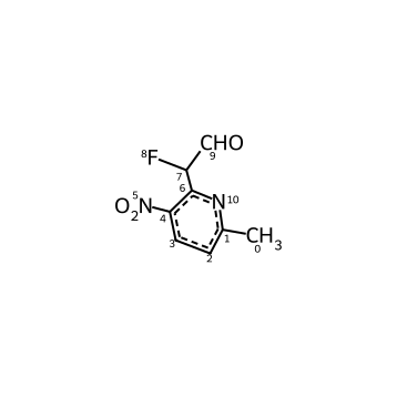 Cc1ccc([N+](=O)[O-])c(C(F)C=O)n1